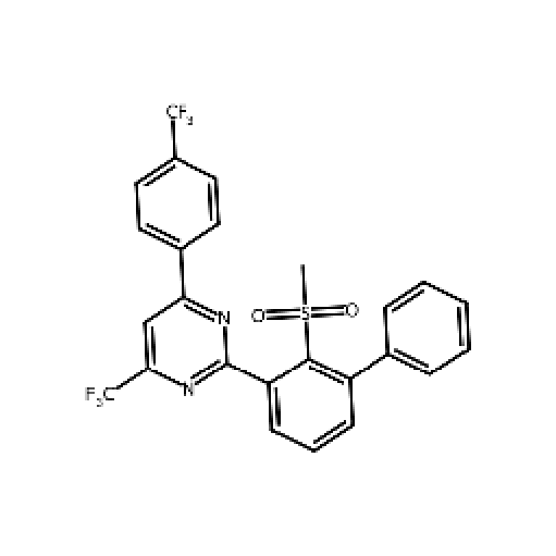 CS(=O)(=O)c1c(-c2ccccc2)cccc1-c1nc(-c2ccc(C(F)(F)F)cc2)cc(C(F)(F)F)n1